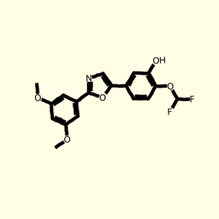 COc1cc(OC)cc(-c2ncc(-c3ccc(OC(F)F)c(O)c3)o2)c1